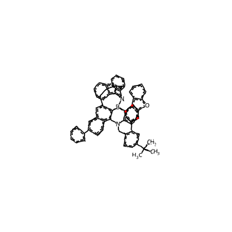 CC(C)(C)c1ccc(CN2c3ccc4oc5ccccc5c4c3B3c4c(cc5cc(-c6ccccc6)ccc5c42)CCc2cccc4c5sc6ccccc6c5n3c24)c(-c2ccccc2)c1